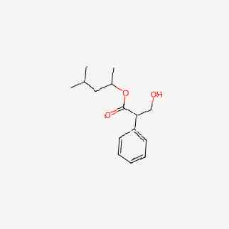 CC(C)CC(C)OC(=O)C(CO)c1ccccc1